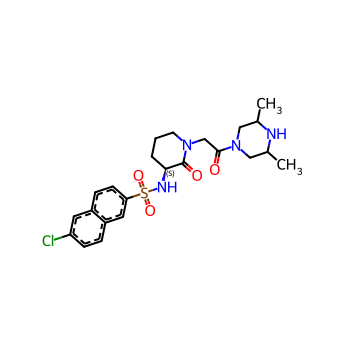 CC1CN(C(=O)CN2CCC[C@H](NS(=O)(=O)c3ccc4cc(Cl)ccc4c3)C2=O)CC(C)N1